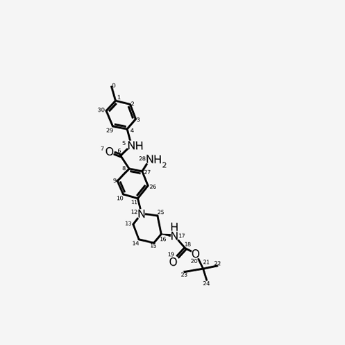 Cc1ccc(NC(=O)c2ccc(N3CCC[C@H](NC(=O)OC(C)(C)C)C3)cc2N)cc1